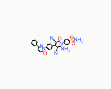 N#Cc1c(-c2ccc(-n3nc(-c4ccccc4)ccc3=O)cc2)c(C#N)c(=O)n(-c2ccc(S(N)(=O)=O)cc2)c1N